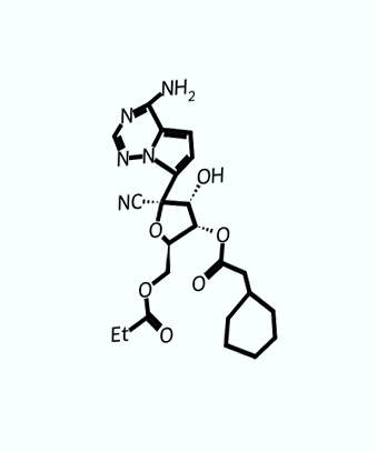 CCC(=O)OC[C@H]1O[C@@](C#N)(c2ccc3c(N)ncnn23)[C@H](O)[C@@H]1OC(=O)CC1CCCCC1